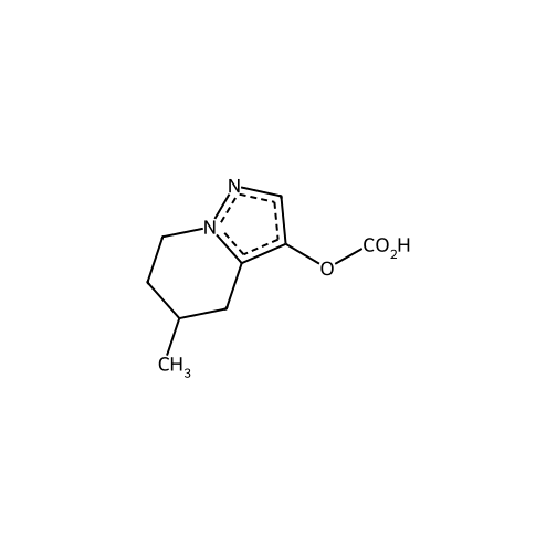 CC1CCn2ncc(OC(=O)O)c2C1